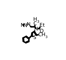 CCC(=O)N(c1cc(-c2ccccc2)sc1C)C(C)CN=[N+]=[N-]